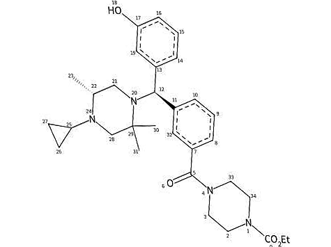 CCOC(=O)N1CCN(C(=O)c2cccc([C@H](c3cccc(O)c3)N3C[C@@H](C)N(C4CC4)CC3(C)C)c2)CC1